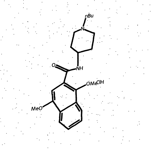 CCCCN1CCC(NC(=O)c2cc(OC)c3ccccc3c2OC)CC1.Cl